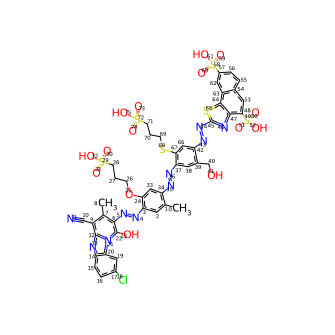 Cc1cc(N=Nc2c(C)c(C#N)c3nc4ccc(Cl)cc4n3c2O)c(OCCCS(=O)(=O)O)cc1N=Nc1cc(CO)c(N=Nc2nc3c(S(=O)(=O)O)cc4ccc(S(=O)(=O)O)cc4c3s2)cc1SCCCS(=O)(=O)O